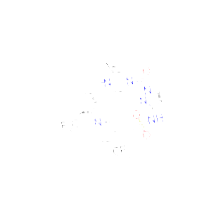 C[C@H]1CN(C(=O)n2ccc(NS(C)(=O)=O)n2)CCN1Cc1ccc(C(F)(F)F)c(N2CCC(C(F)(F)F)CC2)c1